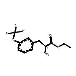 CCOC(=O)[C@@H](N)Cc1cccc(OC(F)(F)F)c1